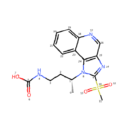 C[C@H](CCNC(=O)O)n1c(S(C)(=O)=O)nc2cnc3ccccc3c21